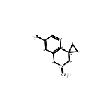 Nc1ccc2c(c1)CN(C(=O)O)CC21CC1